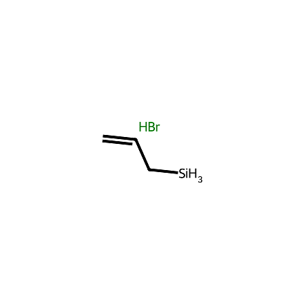 Br.C=CC[SiH3]